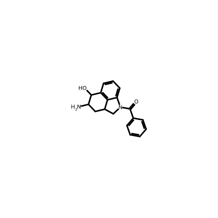 NC1CC2CN(C(=O)c3ccccc3)c3cccc(c32)C1O